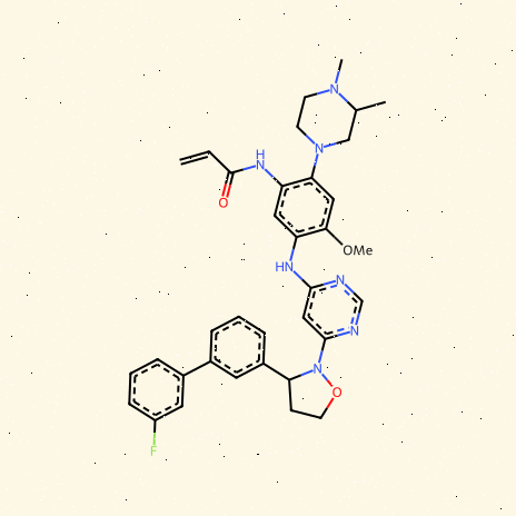 C=CC(=O)Nc1cc(Nc2cc(N3OCCC3c3cccc(-c4cccc(F)c4)c3)ncn2)c(OC)cc1N1CCN(C)C(C)C1